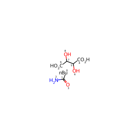 CCCCC(N)=O.O=C(O)C(O)C(O)C(=O)O